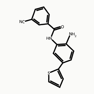 N#Cc1cccc(C(=O)Nc2cc(-c3cccs3)ccc2N)c1